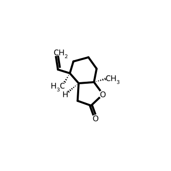 C=C[C@@]1(C)CCC[C@@]2(C)OC(=O)C[C@@H]12